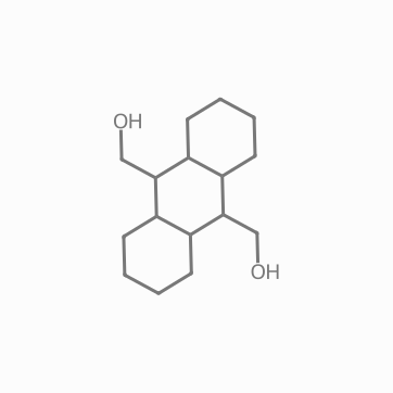 OCC1C2CCCCC2C(CO)C2CCCCC12